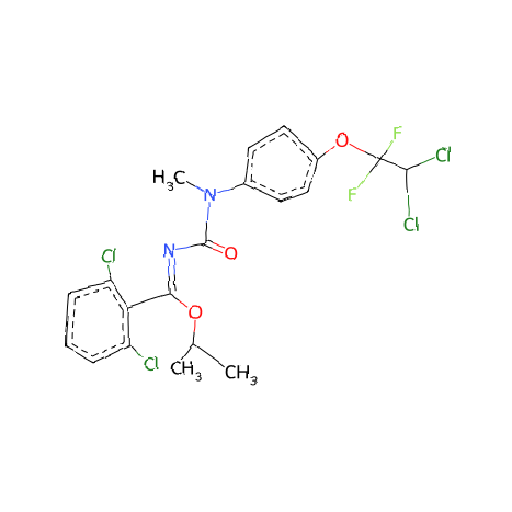 CC(C)OC(=NC(=O)N(C)c1ccc(OC(F)(F)C(Cl)Cl)cc1)c1c(Cl)cccc1Cl